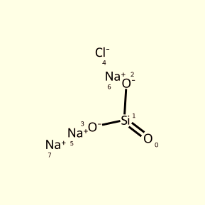 O=[Si]([O-])[O-].[Cl-].[Na+].[Na+].[Na+]